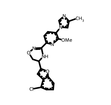 COc1nc(C2=NOCC(c3cc4c(Cl)cccc4o3)N2)ccc1-n1cnc(C)c1